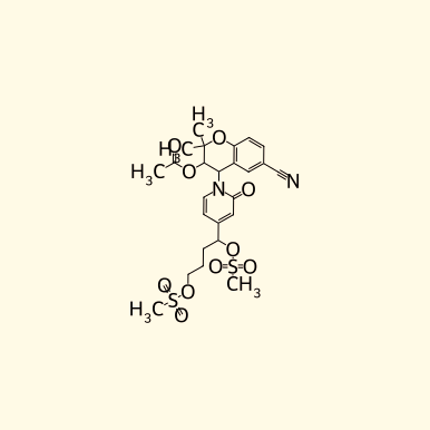 CC(=O)OC1C(n2ccc(C(CCCOS(C)(=O)=O)OS(C)(=O)=O)cc2=O)c2cc(C#N)ccc2OC1(C)C